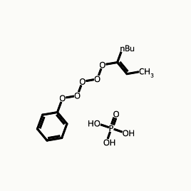 CC=C(CCCC)OOOOOc1ccccc1.O=P(O)(O)O